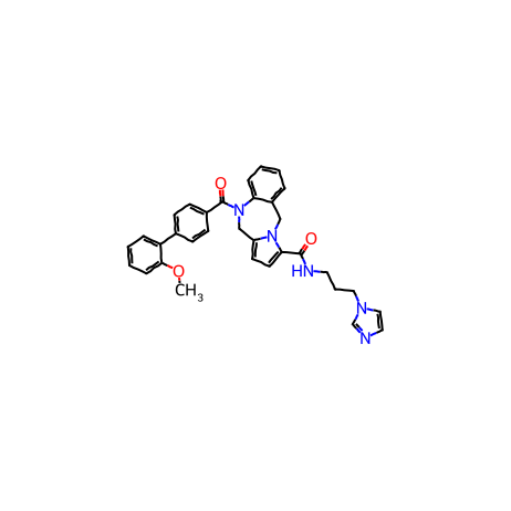 COc1ccccc1-c1ccc(C(=O)N2Cc3ccc(C(=O)NCCCn4ccnc4)n3Cc3ccccc32)cc1